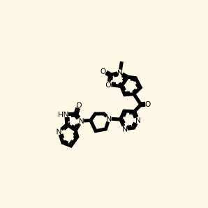 Cn1c(=O)oc2cc(C(=O)c3cc(N4CCC(n5c(=O)[nH]c6ncccc65)CC4)ncn3)ccc21